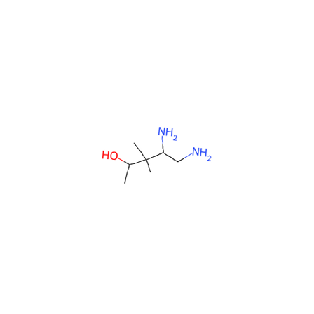 CC(O)C(C)(C)C(N)CN